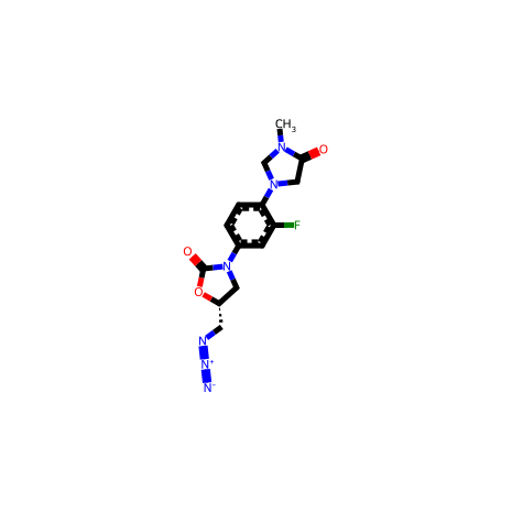 CN1CN(c2ccc(N3C[C@H](CN=[N+]=[N-])OC3=O)cc2F)CC1=O